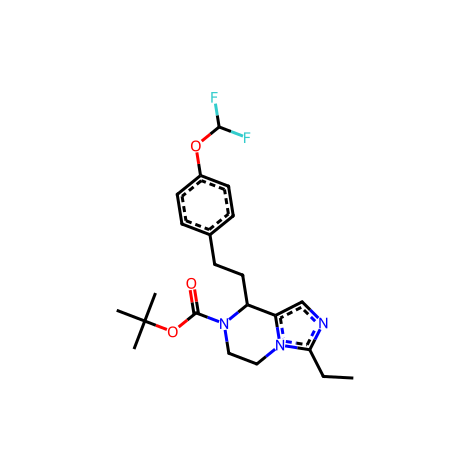 CCc1ncc2n1CCN(C(=O)OC(C)(C)C)C2CCc1ccc(OC(F)F)cc1